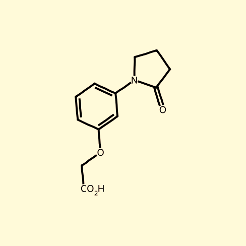 O=C(O)COc1cccc(N2CCCC2=O)c1